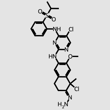 COc1cc2c(cc1Nc1ncc(Cl)c(Nc3ccccc3S(=O)(=O)C(C)C)n1)CC/C(=N\N)C2(C)Cl